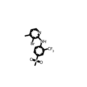 Cc1ccnc(Nc2ccc(S(C)(=O)=O)cc2C(F)(F)F)c1Br